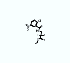 CCOC(=O)C(F)(F)CNC(=O)c1cc([N+](=O)[O-])ccc1Cl